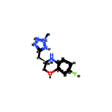 Cn1nnc(C[C@H]2COc3cc(F)ccc3N2)n1